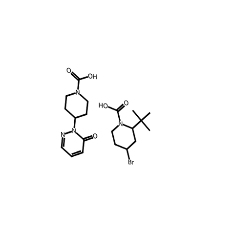 CC(C)(C)C1CC(Br)CCN1C(=O)O.O=C(O)N1CCC(n2ncccc2=O)CC1